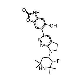 CC1(C)C[C@H](N2CCc3cc(-c4cc5oc(=O)[nH]c5cc4O)nnc32)[C@H](F)C(C)(C)N1